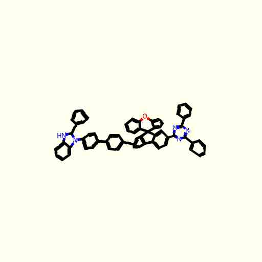 c1ccc(-c2nc(-c3ccccc3)nc(-c3ccc4c(c3)C3(c5ccccc5Oc5ccccc53)c3cc(-c5ccc(-c6ccc(N7c8ccccc8NC7c7ccccc7)cc6)cc5)ccc3-4)n2)cc1